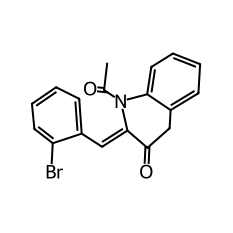 CC(=O)N1/C(=C\c2ccccc2Br)C(=O)Cc2ccccc21